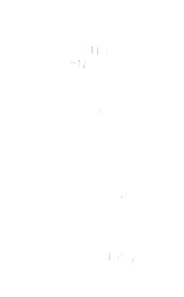 O=CNCCOCC1CCC(COCCCC(=O)O)CC1